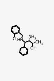 C[C@@H](O)[C@@H](N)C(NCc1ccccc1Cl)c1ccccc1